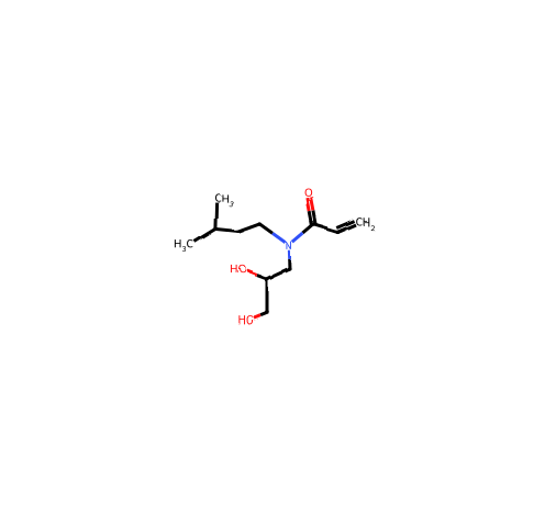 C=CC(=O)N(CCC(C)C)CC(O)CO